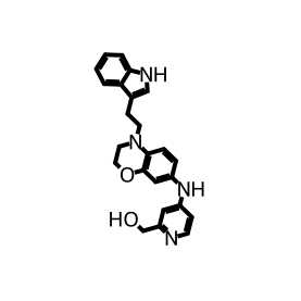 OCc1cc(Nc2ccc3c(c2)OCCN3CCc2c[nH]c3ccccc23)ccn1